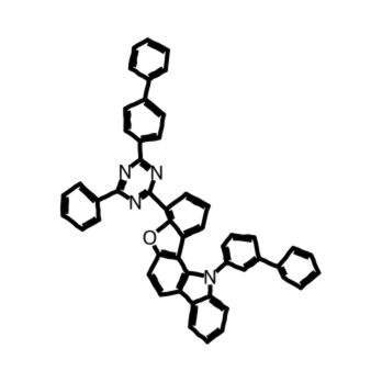 c1ccc(-c2ccc(-c3nc(-c4ccccc4)nc(-c4cccc5c4oc4ccc6c7ccccc7n(-c7cccc(-c8ccccc8)c7)c6c45)n3)cc2)cc1